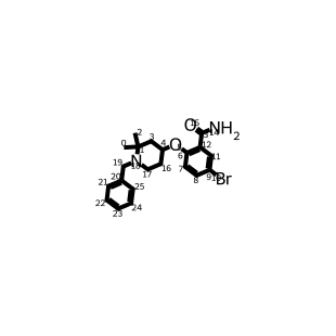 CC1(C)CC(Oc2ccc(Br)cc2C(N)=O)CCN1Cc1ccccc1